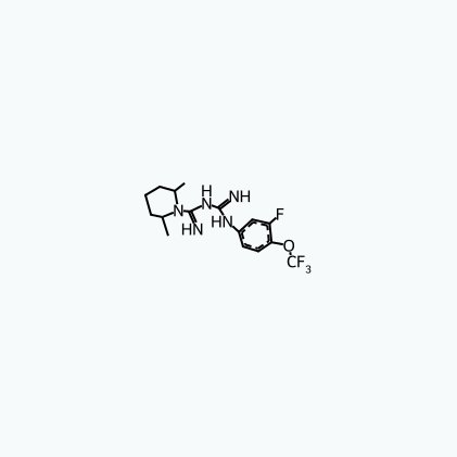 CC1CCCC(C)N1C(=N)NC(=N)Nc1ccc(OC(F)(F)F)c(F)c1